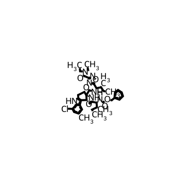 CCC(C)[C@H](NC(=O)OCc1ccccc1)C(=O)N[C@]1(C(=O)N[C@H](c2nc(C(=O)N(CC)CC)no2)C(C)CC)CCc2[nH]c3c(Cl)cc(C)cc3c2C1